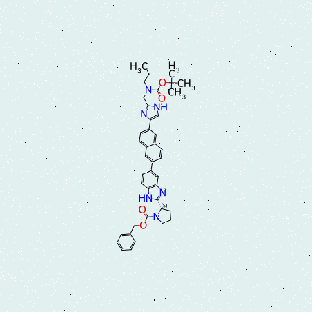 CCCN(Cc1nc(-c2ccc3cc(-c4ccc5[nH]c([C@@H]6CCCN6C(=O)OCc6ccccc6)nc5c4)ccc3c2)c[nH]1)C(=O)OC(C)(C)C